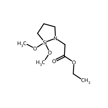 CCOC(=O)CN1CCC[Si]1(OC)OC